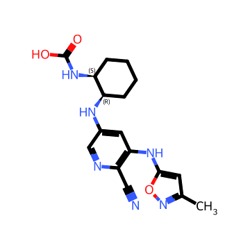 Cc1cc(Nc2cc(N[C@@H]3CCCC[C@@H]3NC(=O)O)cnc2C#N)on1